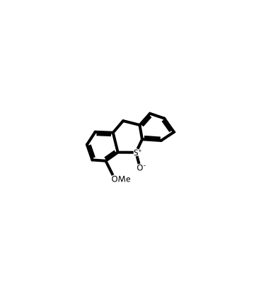 COc1cccc2c1[S+]([O-])c1ccccc1C2